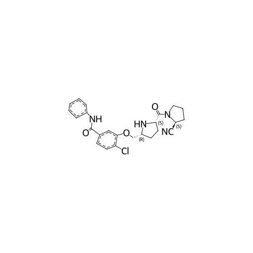 N#C[C@@H]1CCCN1C(=O)[C@@H]1CC[C@H](COc2cc(C(=O)Nc3ccccc3)ccc2Cl)N1